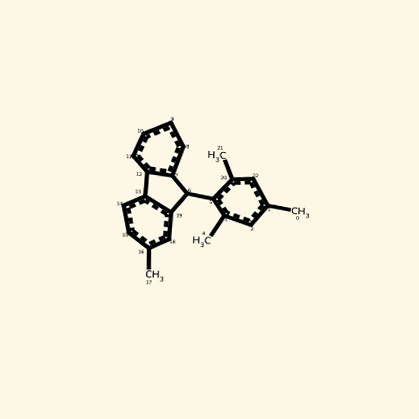 Cc1cc(C)c(C2c3ccccc3-c3ccc(C)cc32)c(C)c1